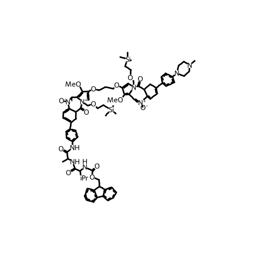 COC1=C2C=[N+]([O-])C3=CC=C(c4ccc(NC(=O)C(C)NC(=O)C(NC(=O)OCC5c6ccccc6-c6ccccc65)C(C)C)cc4)CC3C(=O)[N+]2(COCC[Si](C)(C)C)C=C1OCCCOC1=C[N+]2(COCC[Si](C)(C)C)C(=O)C3CC(c4ccc(N5CCN(C)CC5)cc4)=CC=C3[N+]([O-])=CC2=C1OC